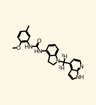 [2H]C([2H])(c1ccnc2[nH]ccc12)N1CCc2c(NC(=O)Nc3cc(C)ccc3OC)cccc21